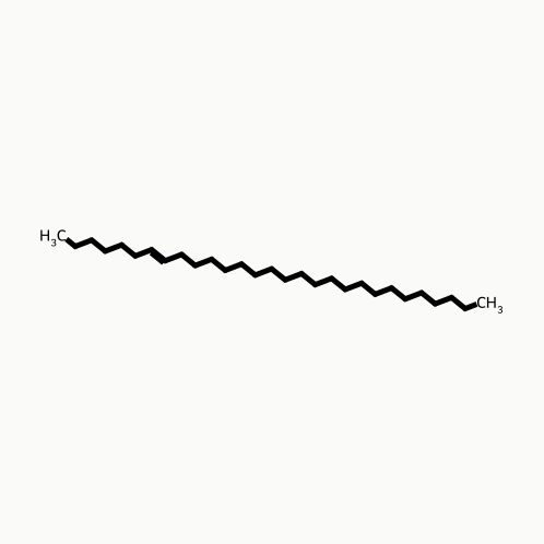 CCCCCC/C=C/CCCCCCCCCCCCCCCCCCCCC